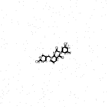 O=c1nc2n(Cc3cnc(Cl)nc3)cccc-2c(=O)n1-c1cc(F)cc(C(F)(F)F)c1